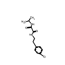 CC(C)NC(=O)C(=O)NCCc1ccc(Cl)cc1